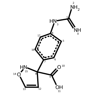 N=C(N)Nc1ccc(C2(C(=O)O)C=CON2)cc1